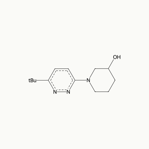 CC(C)(C)c1ccc(N2CCCC(O)C2)nn1